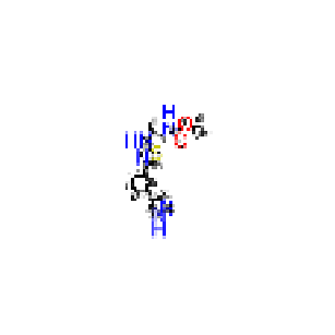 C=C(CNC(=O)OC(C)(C)C)Nc1nc(-c2cccc(-c3cn[nH]c3)c2)cs1